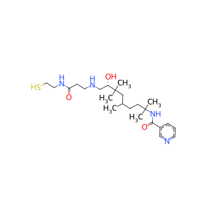 CC(CCC(C)(C)NC(=O)c1cccnc1)CC(C)(C)[C@@H](O)CNCCC(=O)NCCS